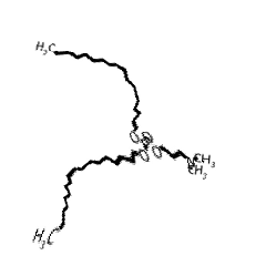 CCCCCCCC/C=C\CCCCCCCCOP(=O)(OCCCCCCCC/C=C\CCCCCCCC)OCCCN(C)C